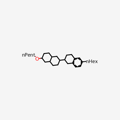 CCCCCCc1ccc2c(c1)CCC(C1CCC3CC(OCCCCC)CCC3C1)C2